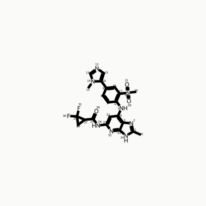 Cc1nc2c(Nc3ccc(-c4cncn4C)cc3S(C)(=O)=O)cc(NC(=O)C3CC3(F)F)nc2[nH]1